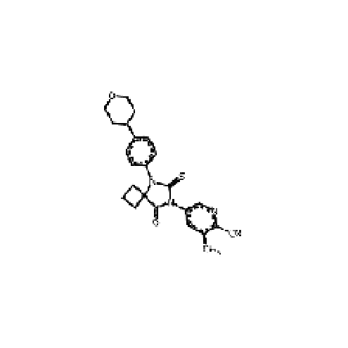 Cc1cc(N2C(=O)C3(CCC3)N(c3ccc(C4CCOCC4)cc3)C2=S)cnc1C#N